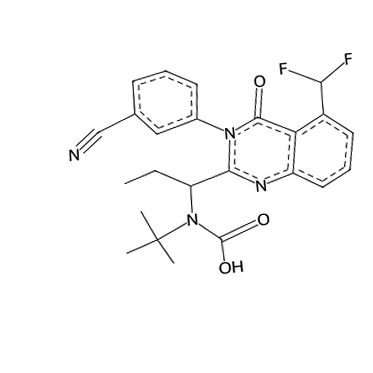 CCC(c1nc2cccc(C(F)F)c2c(=O)n1-c1cccc(C#N)c1)N(C(=O)O)C(C)(C)C